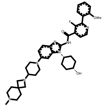 COc1ccccc1-c1nccc(C(=O)Nc2nc3ccc(N4CCC(N5CC6(CCN(C)CC6)C5)CC4)cc3n2[C@H]2CC[C@@H](O)CC2)c1F